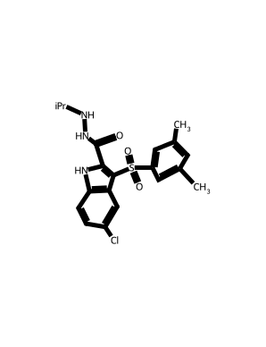 Cc1cc(C)cc(S(=O)(=O)c2c(C(=O)NNC(C)C)[nH]c3ccc(Cl)cc23)c1